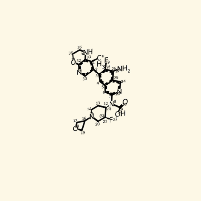 Cc1c(-c2cc3cc(N(C(=O)O)[C@H]4CCN(C5COC5)C[C@@H]4F)ncc3c(N)c2F)cnc2c1NCCO2